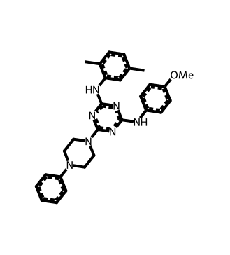 COc1ccc(Nc2nc(Nc3cc(C)ccc3C)nc(N3CCN(c4ccccc4)CC3)n2)cc1